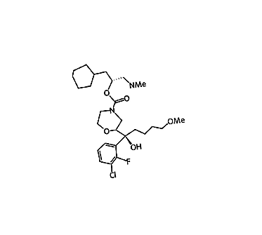 CNC[C@@H](CC1CCCCC1)OC(=O)N1CCOC([C@](O)(CCCCOC)c2cccc(Cl)c2F)C1